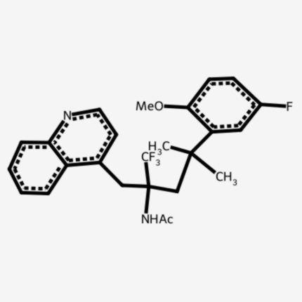 COc1ccc(F)cc1C(C)(C)CC(Cc1ccnc2ccccc12)(NC(C)=O)C(F)(F)F